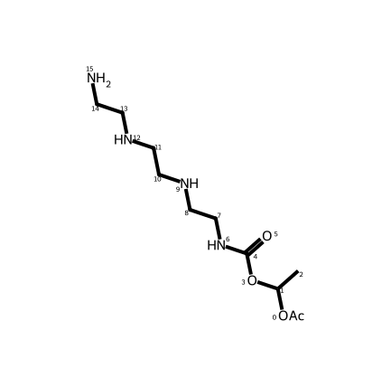 CC(=O)OC(C)OC(=O)NCCNCCNCCN